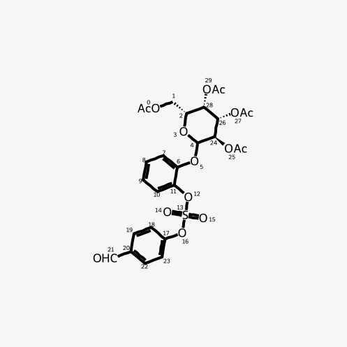 CC(=O)OC[C@H]1OC(Oc2ccccc2OS(=O)(=O)Oc2ccc(C=O)cc2)[C@H](OC(C)=O)[C@@H](OC(C)=O)[C@H]1OC(C)=O